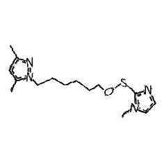 Cc1cc(C)n(CCCCCCOSc2nccn2C)n1